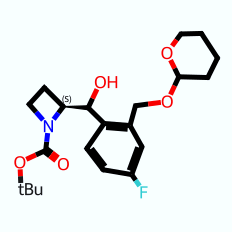 CC(C)(C)OC(=O)N1CC[C@H]1C(O)c1ccc(F)cc1COC1CCCCO1